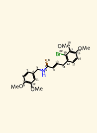 COc1ccc(CNC(=S)C=CCc2ccc(OC)c(OC)c2Br)cc1OC